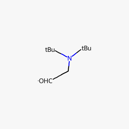 CC(C)(C)N(C[C]=O)C(C)(C)C